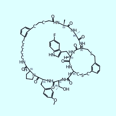 COc1ccc(C[C@@H]2NC(=O)[C@H]([C@@H](C)O)NC(=O)[C@@H]3CSCc4cccc(c4)CSC[C@H](NC(=O)[C@@H](C)NC(=O)[C@H](C)NC(=O)CCCCc4cccc(c4)CCCCNC(=O)[C@@H]4CCCN4C2=O)C(=O)N[C@@H](Cc2c[nH]c4ccc(F)cc24)C(=O)N3)cc1